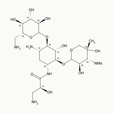 CN[C@@H]1[C@@H](O)C(O[C@@H]2[C@@H](O)[C@H](OC3O[C@H](CN)[C@@H](O)[C@H](O)[C@H]3O)[C@@H](N)C[C@H]2NC(=O)[C@@H](O)CN)OC[C@]1(C)O